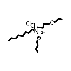 CCCCCCCC[N](CCCCCCCC)[Ti+2][O]CCCC.[Cl-].[Cl-]